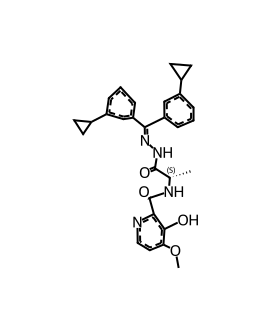 COc1ccnc(C(=O)N[C@@H](C)C(=O)NN=C(c2cccc(C3CC3)c2)c2cccc(C3CC3)c2)c1O